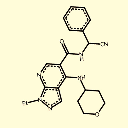 CCn1ncc2c(NC3CCOCC3)c(C(=O)NC(C#N)c3ccccc3)cnc21